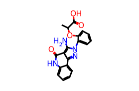 CC(Oc1ccccc1-n1nc2c(c1N)c(=O)[nH]c1ccccc12)C(=O)O